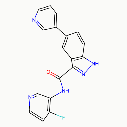 O=C(Nc1cnccc1F)c1n[nH]c2ccc(-c3cccnc3)cc12